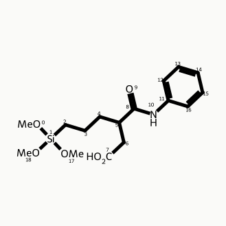 CO[Si](CCCC(CC(=O)O)C(=O)Nc1ccccc1)(OC)OC